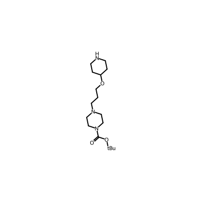 CC(C)(C)OC(=O)N1CCN(CCCOC2CCNCC2)CC1